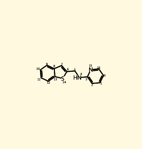 [c]1ccc(NCc2cc3ccccc3s2)nc1